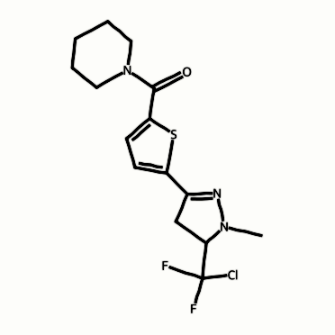 CN1N=C(c2ccc(C(=O)N3CCCCC3)s2)CC1C(F)(F)Cl